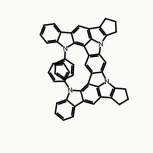 c1ccc(-n2c3ccccc3c3cc4c5c(n6c7cc8c(cc7c(c32)c46)c2c3c(cc4c6c(n8c42)CCC6)c2ccccc2n3-c2ccccc2)CCC5)cc1